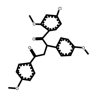 COc1ccc(C(=O)CC(C(=O)c2ccc(Cl)cc2OC)c2ccc(OC)cc2)cc1